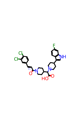 O=C(O)C(C1CCN(C(=O)/C=C/c2ccc(Cl)c(Cl)c2)CC1)N1CCC(c2c[nH]c3cc(F)ccc23)CC1